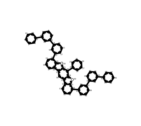 c1ccc(-c2cccc(-c3cccc(-c4cccc5c4oc4c(-c6ccccc6)c6oc7c(-c8cccc(-c9cccc(-c%10ccccc%10)c9)c8)cccc7c6cc45)c3)c2)cc1